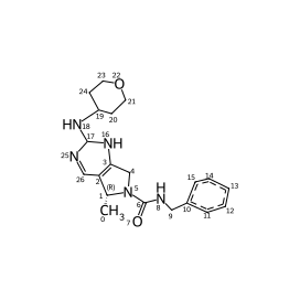 C[C@@H]1C2=C(CN1C(=O)NCc1ccccc1)NC(NC1CCOCC1)N=C2